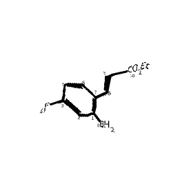 Bc1cc(F)ccc1/C=C/C(=O)OCC